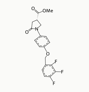 COC(=O)[C@H]1CC(=O)N(c2ccc(OCc3ccc(F)c(F)c3F)cc2)C1